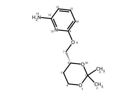 CC1(C)OCC[C@H](COc2cccc(N)n2)O1